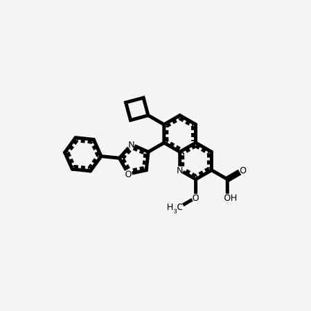 COc1nc2c(-c3coc(-c4ccccc4)n3)c(C3CCC3)ccc2cc1C(=O)O